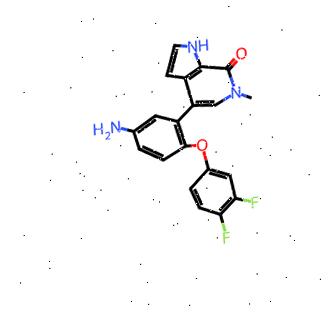 Cn1cc(-c2cc(N)ccc2Oc2ccc(F)c(F)c2)c2cc[nH]c2c1=O